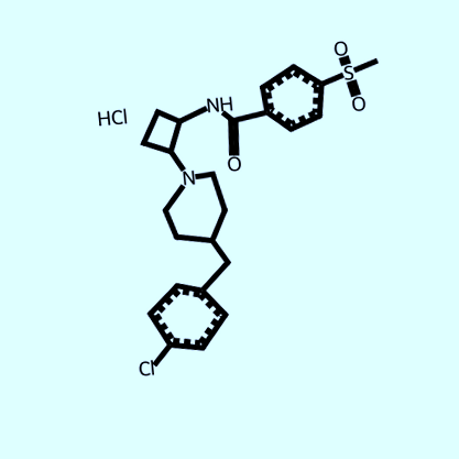 CS(=O)(=O)c1ccc(C(=O)NC2CCC2N2CCC(Cc3ccc(Cl)cc3)CC2)cc1.Cl